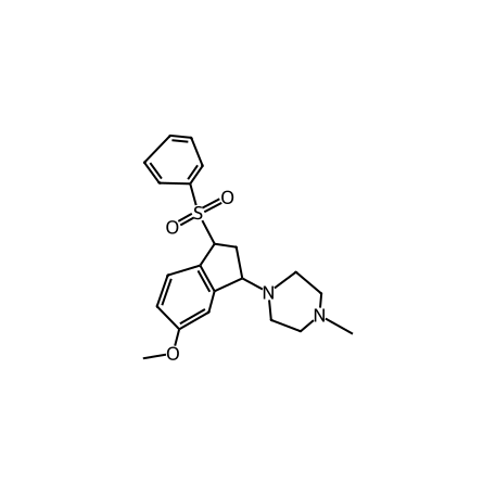 COc1ccc2c(c1)C(N1CCN(C)CC1)CC2S(=O)(=O)c1ccccc1